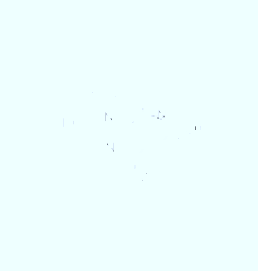 CC1CCN1c1ncc(I)c2cc(Cl)ncc12